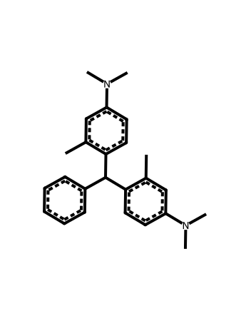 Cc1cc(N(C)C)ccc1C(c1ccccc1)c1ccc(N(C)C)cc1C